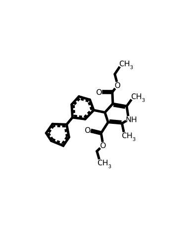 CCOC(=O)C1=C(C)NC(C)=C(C(=O)OCC)C1c1cccc(-c2ccccc2)c1